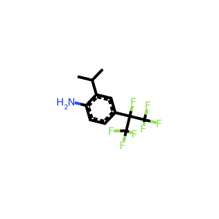 CC(C)c1cc(C(F)(C(F)(F)F)C(F)(F)F)ccc1N